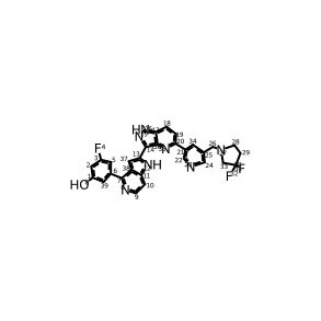 Oc1cc(F)cc(-c2nccc3[nH]c(-c4n[nH]c5ccc(-c6cncc(CN7CCC(F)(F)C7)c6)nc45)cc23)c1